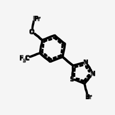 CC(C)Oc1ccc(-c2nnc(Br)s2)cc1C(F)(F)F